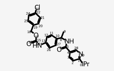 CC(C)c1ccc(C(=O)NC(C)c2ccc(NC(=O)OCc3ccc(Cl)cc3)cc2)cn1